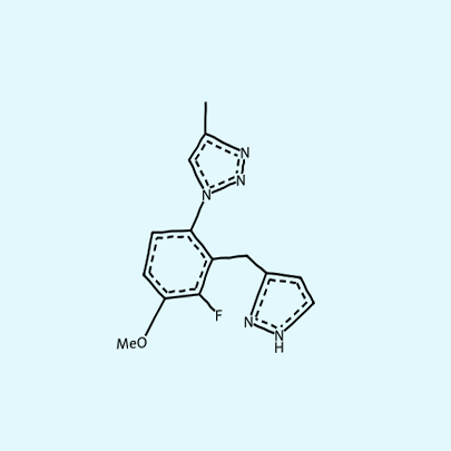 COc1ccc(-n2cc(C)nn2)c(Cc2cc[nH]n2)c1F